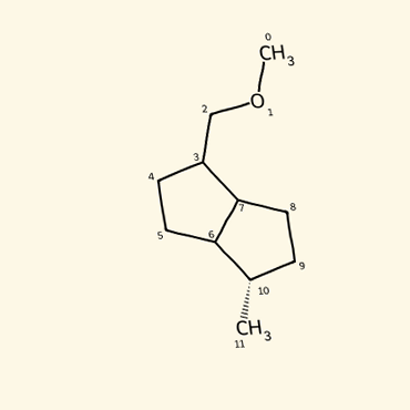 COCC1CCC2C1CC[C@@H]2C